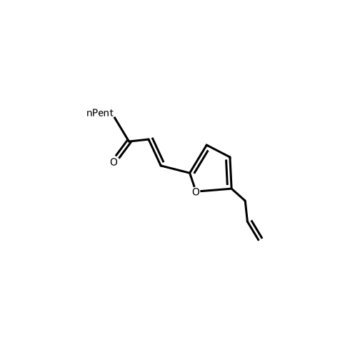 C=CCc1ccc(/C=C/C(=O)CCCCC)o1